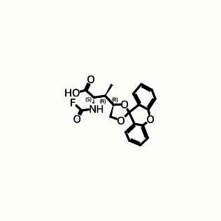 C[C@@H]([C@@H]1COC2(O1)c1ccccc1Oc1ccccc12)[C@H](NC(=O)F)C(=O)O